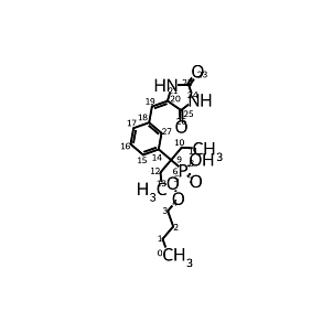 CCCCOOP(=O)(O)C(CC)(CC)c1cccc(C=C2NC(=O)NC2=O)c1